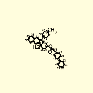 CN1CCN(CC2CC(OC(=O)Oc3ccc(-c4ccccc4)cc3)CCC2(O)c2ccc3ccccc3c2)CC1